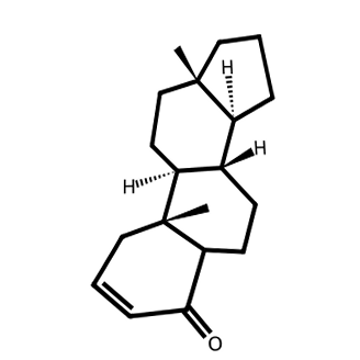 C[C@@]12CCC[C@H]1[C@@H]1CCC3C(=O)C=CC[C@]3(C)[C@H]1CC2